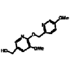 COc1ccc(COc2ncc(CO)cc2OC)nc1